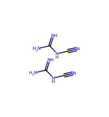 N#CNC(=N)N.N#CNC(=N)N